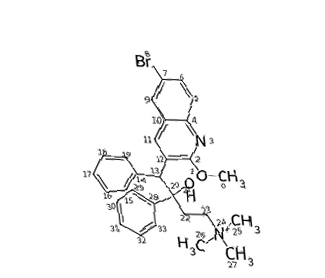 COc1nc2ccc(Br)cc2cc1C(c1ccccc1)C(O)(CC[N+](C)(C)C)c1ccccc1